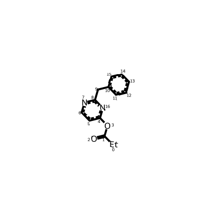 CCC(=O)Oc1ccnc(Cc2ccccc2)n1